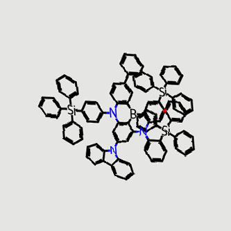 c1ccc(-c2ccc3c(c2)B2c4cc([Si](c5ccccc5)(c5ccccc5)c5ccccc5)ccc4N(c4ccccc4[Si](c4ccccc4)(c4ccccc4)c4ccccc4)c4cc(-n5c6ccccc6c6ccccc65)cc(c42)N3c2ccc([Si](c3ccccc3)(c3ccccc3)c3ccccc3)cc2)cc1